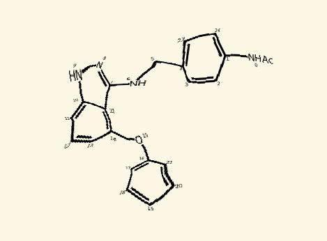 CC(=O)Nc1ccc(CNc2n[nH]c3cccc(Oc4ccccc4)c23)cc1